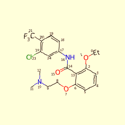 CCOc1cccc(OCCN(C)C)c1C(=O)Nc1ccc(C(F)(F)F)c(Cl)c1